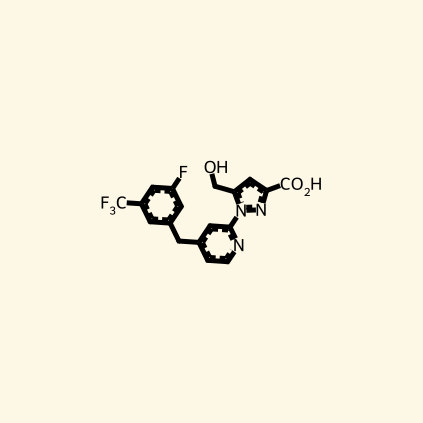 O=C(O)c1cc(CO)n(-c2cc(Cc3cc(F)cc(C(F)(F)F)c3)ccn2)n1